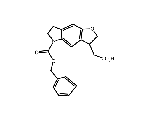 O=C(O)CC1COc2cc3c(cc21)N(C(=O)OCc1ccccc1)CC3